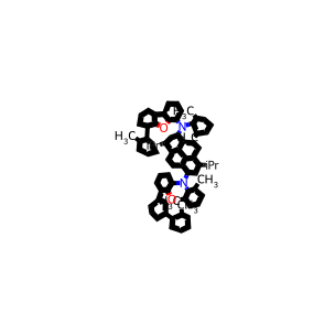 Cc1ccccc1-c1cccc2c1oc1c(N(c3c(C)cccc3C)c3cc(C(C)C)c4ccc5c(N(c6c(C)cccc6C)c6cccc7c6oc6c(-c8ccccc8C)cccc67)cc(C(C)C)c6ccc3c4c65)cccc12